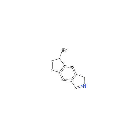 CC(C)C1C=Cc2cc3c(cc21)CN=C3